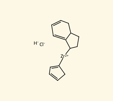 C1=CC[C]([Zr+2][CH]2CCC3CC=CC=C32)=C1.[Cl-].[H-]